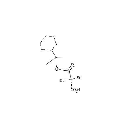 CCC(CC)(C(=O)O)C(=O)OC(C)(C)C1CCCCC1